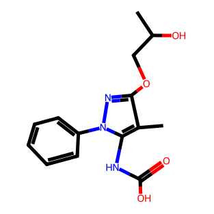 Cc1c(OCC(C)O)nn(-c2ccccc2)c1NC(=O)O